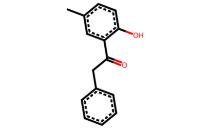 Cc1ccc(O)c(C(=O)Cc2ccccc2)c1